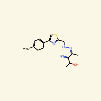 COC1=CC=C(c2csc(CN/N=C(/C)C(=N)C(C)O)n2)CC1